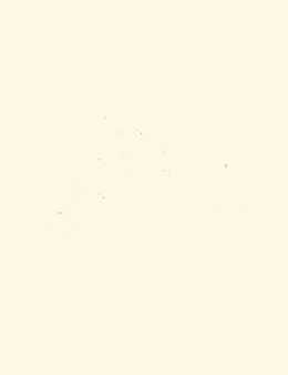 CC(C)(C)n1nc(C(=O)N[C@H](CO)Cc2ccccc2)c2sc(NC(=O)c3cccc(Cl)c3)nc21